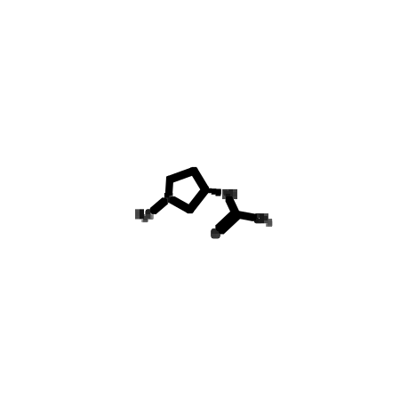 CC(=O)N[C@H]1CCN(C)C1